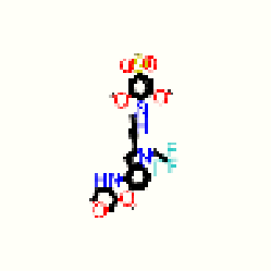 COc1cc(S(C)(=O)=O)cc(OC)c1NCC#Cc1cc2c(N[C@H]3CCOC[C@@H]3OC)cccc2n1CC(F)(F)F